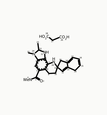 CNC(=O)c1cc2c(c3c1CCC1(C=C4CC=CC=C4C1)N3)NC(C)N2C.O=C(O)CC(=O)O